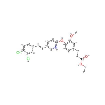 CCOC(=O)CCc1ccc(Oc2ccc(C=Cc3ccc(Cl)c(Cl)c3)cn2)c(OC)c1